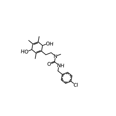 CC1=C(C)C(O)C(CCN(C)C(=O)NCc2ccc(Cl)cc2)=C(C)C1O